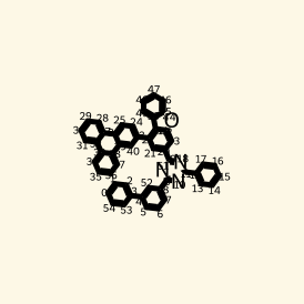 c1ccc(-c2cccc(-c3nc(-c4ccccc4)nc(-c4cc(-c5ccc6c7ccccc7c7ccccc7c6c5)c5c(c4)oc4ccccc45)n3)c2)cc1